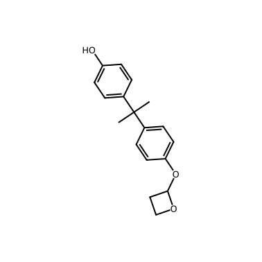 CC(C)(c1ccc(O)cc1)c1ccc(OC2CCO2)cc1